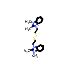 Cc1n(C)c2ccccc2[n+]1CCSSCC[n+]1c(C)n(C)c2ccccc21